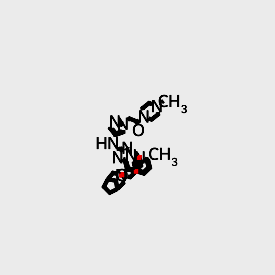 Cc1ccc(COC2C3CCC2CN(c2cccn4nc(Nc5cnn(CC(=O)N6CCN(C)CC6)c5)nc24)C3)cn1